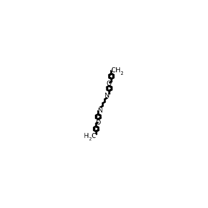 C=Cc1ccc(COc2ccc(/C=N/CCCCCC/N=C/c3ccc(OCc4ccc(C=C)cc4)cc3)cc2)cc1